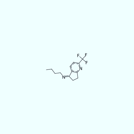 CCCC/N=C1/CCc2nc(C(F)(F)F)ccc21